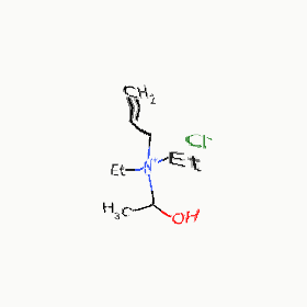 C=CC[N+](CC)(CC)C(C)O.[Cl-]